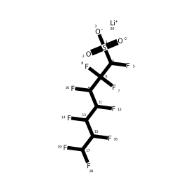 O=S(=O)([O-])C(F)C(F)(F)C(F)C(F)C(F)C(F)C(F)F.[Li+]